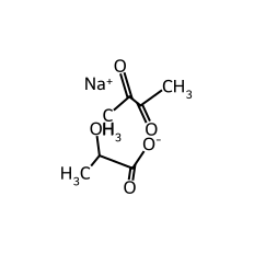 CC(=O)C(C)=O.CC(O)C(=O)[O-].[Na+]